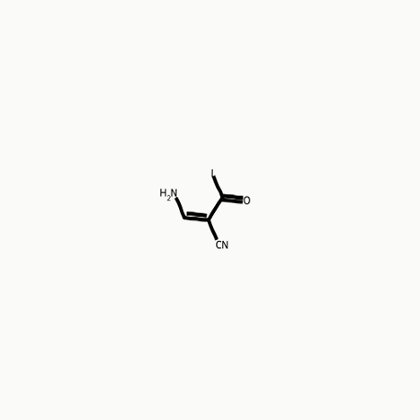 N#C/C(=C/N)C(=O)I